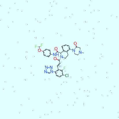 CN1CCN(c2cccc3c2CCN(C(=O)/C=C/c2c(-n4cnnn4)ccc(Cl)c2F)C3C(=O)Nc2ccc(OC(F)F)cc2)C(=O)C1